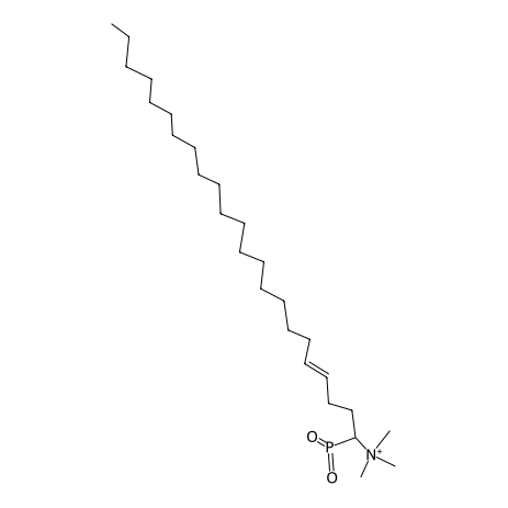 CCCCCCCCCCCCCCCCCCC=CCCC(P(=O)=O)[N+](C)(C)C